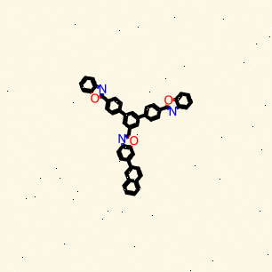 c1ccc2cc(-c3ccc4nc(-c5cc(-c6ccc(-c7nc8ccccc8o7)cc6)cc(-c6ccc(-c7nc8ccccc8o7)cc6)c5)oc4c3)ccc2c1